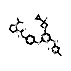 Cc1cc(Nc2cc(N3CC(F)(C4CC4)C3)nc(Sc3ccc(NC(=O)[C@H]4CCCN4C(C)C)cc3)n2)[nH]n1